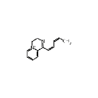 C/C=C\C=C/C1=NCC[n+]2ccccc21